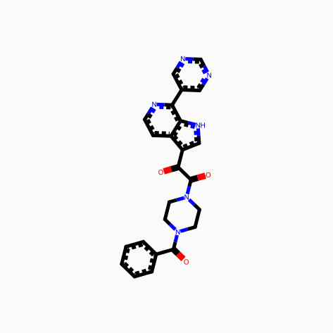 O=C(C(=O)N1CCN(C(=O)c2ccccc2)CC1)c1c[nH]c2c(-c3cncnc3)nccc12